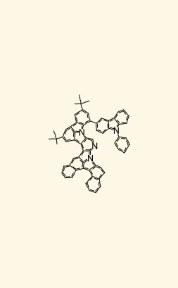 CC(C)(C)c1cc(-c2ccc3c(c2)c2ccccc2n3-c2ccccc2)c2c(c1)c1cc(C(C)(C)C)cc3c4c5c6cc7ccccc7c7c8c9ccccc9ccc8n(c5ncc4n2c13)c67